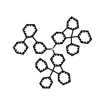 c1ccc(-c2ccccc2-c2cccc(N(c3ccc4c(c3)C(c3ccccc3)(c3ccccc3)c3ccccc3-4)c3ccc4c(c3)C(c3ccccc3)(c3ccccc3)c3ccccc3-4)c2)cc1